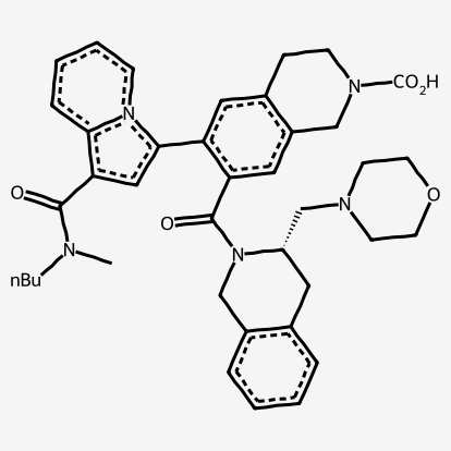 CCCCN(C)C(=O)c1cc(-c2cc3c(cc2C(=O)N2Cc4ccccc4C[C@H]2CN2CCOCC2)CN(C(=O)O)CC3)n2ccccc12